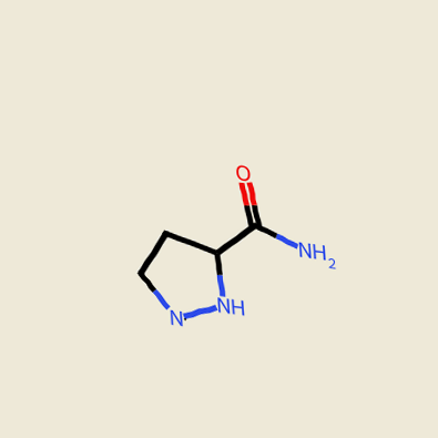 NC(=O)C1CC[N]N1